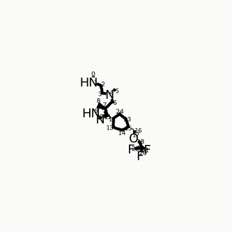 CNCCN(C)Cc1c[nH]nc1[C@H]1CC[C@@H](COCC(F)(F)F)CC1